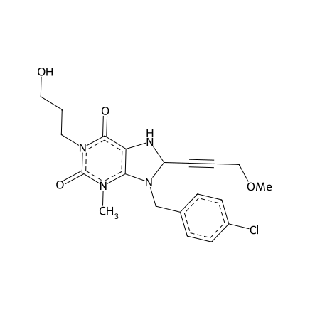 COCC#CC1Nc2c(n(C)c(=O)n(CCCO)c2=O)N1Cc1ccc(Cl)cc1